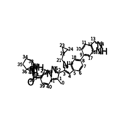 Cc1c(-c2cc3ccc(-c4ccc5cn[nH]c5c4)cc3n2CC2CC2)nn2cc(C(=O)N3CC4CCC3[C@@H]4N)ccc12